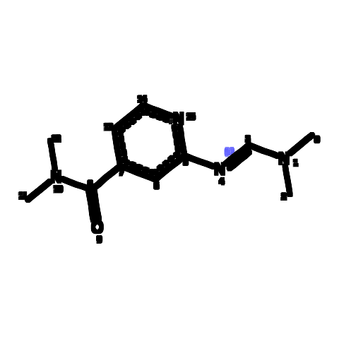 CN(C)/C=N/c1cc(C(=O)N(C)C)ccn1